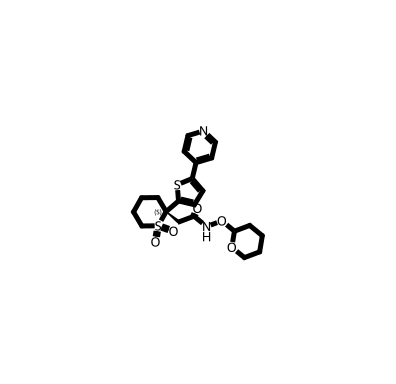 O=C(C[C@]1(c2ccc(-c3ccncc3)s2)CCCCS1(=O)=O)NOC1CCCCO1